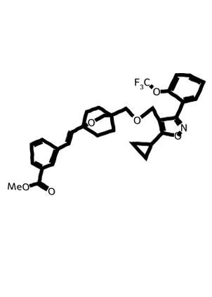 COC(=O)c1cccc(C=CC23CCC(COCc4c(-c5ccccc5OC(F)(F)F)noc4C4CC4)(CC2)CO3)c1